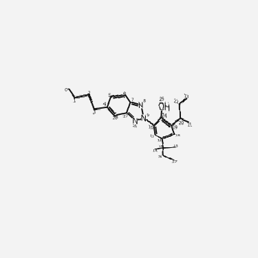 CCCCc1ccc2nn(-c3cc(C(C)(C)CC)cc(C(C)CC)c3O)nc2c1